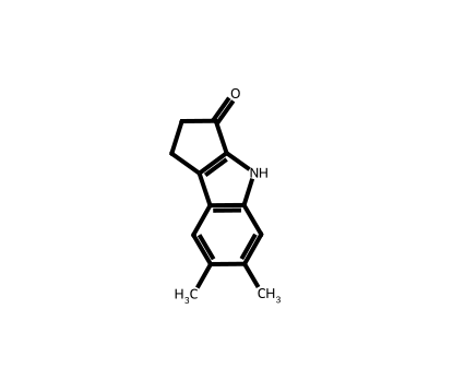 Cc1cc2[nH]c3c(c2cc1C)CCC3=O